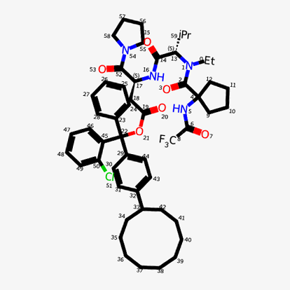 CCN(C(=O)C1(NC(=O)C(F)(F)F)CCCC1)[C@H](C(=O)N[C@@H](CC(=O)OC(c1ccccc1)(c1ccc(C2CCCCCCCCC2)cc1)c1ccccc1Cl)C(=O)N1CCCC1)C(C)C